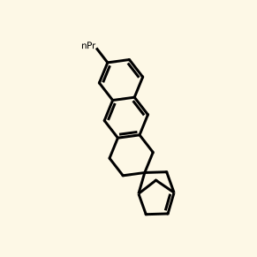 CCCc1ccc2cc3c(cc2c1)CCC1(CC2=CCC1C2)C3